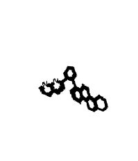 c1ccc(-c2cccc3c2ccc2c4c(ccc23)CCCC4)c(-c2ccc3cccnc3n2)c1